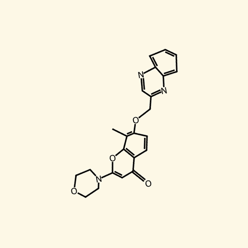 Cc1c(OCc2cnc3ccccc3n2)ccc2c(=O)cc(N3CCOCC3)oc12